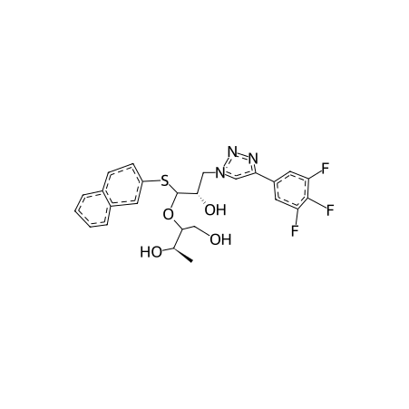 C[C@@H](O)C(CO)OC(Sc1ccc2ccccc2c1)[C@@H](O)Cn1cc(-c2cc(F)c(F)c(F)c2)nn1